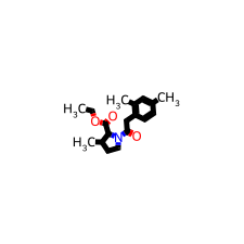 CCOC(=O)C1C(C)CCN1C(=O)Cc1ccc(C)cc1C